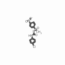 CS(=O)(=NC(=O)Nc1ccc(Cl)cc1)c1ccc([N+](=O)[O-])cc1